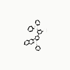 Clc1cc(-c2ccc3c(c2)c2cc4ccccc4cc2n3-c2ccccc2)cc(N(c2ccccc2)c2ccccc2)c1